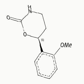 COc1ccccc1[C@@H]1CCNC(=O)O1